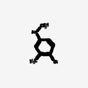 Cc1cc(NC(=O)O)ccc1C#N